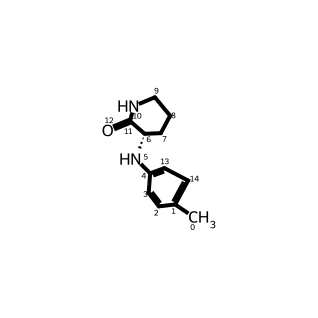 Cc1ccc(N[C@H]2CCCNC2=O)cc1